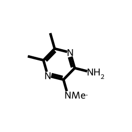 C[N]c1nc(C)c(C)nc1N